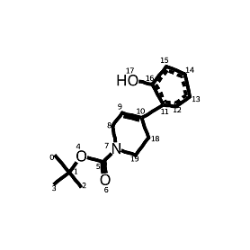 CC(C)(C)OC(=O)N1CC=C(c2ccccc2O)CC1